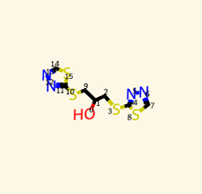 OC(CSc1nncs1)CSc1nncs1